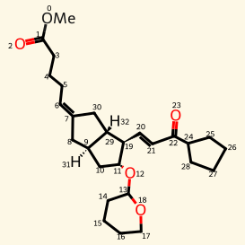 COC(=O)CCCC=C1C[C@@H]2C[C@@H](OC3CCCCO3)[C@H](C=CC(=O)C3CCCC3)[C@H]2C1